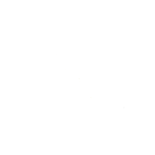 C=Cc1ccc(OCCSCCSCCSc2cc(C)c(S(=O)(=O)O)c(C)c2)cc1